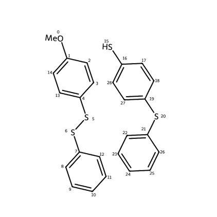 COc1ccc(SSc2ccccc2)cc1.Sc1ccc(Sc2ccccc2)cc1